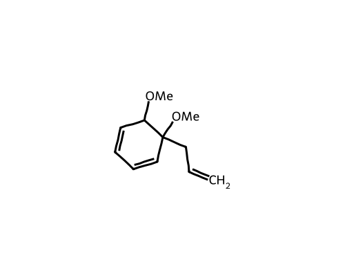 C=CCC1(OC)C=CC=CC1OC